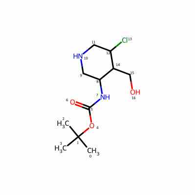 CC(C)(C)OC(=O)NC1CNCC(Cl)C1CO